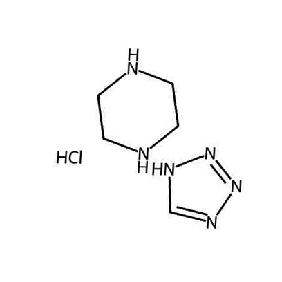 C1CNCCN1.Cl.c1nnn[nH]1